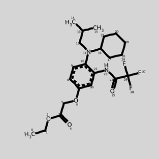 CCOC(=O)COc1ccc(N(CC(C)C)C2CCCCC2)c(NC(=O)C(F)(F)F)c1